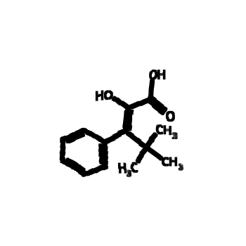 CC(C)(C)C(=C(O)C(=O)O)c1ccccc1